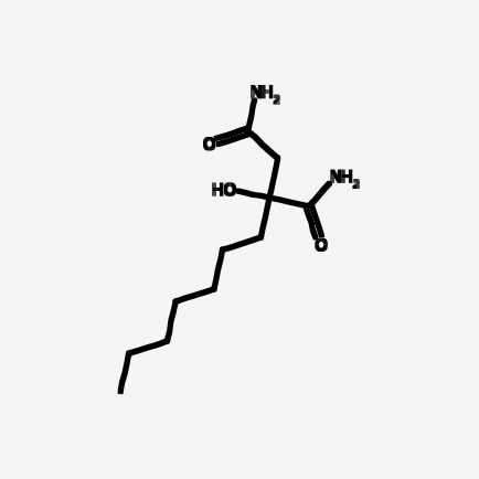 CCCCCCCC(O)(CC(N)=O)C(N)=O